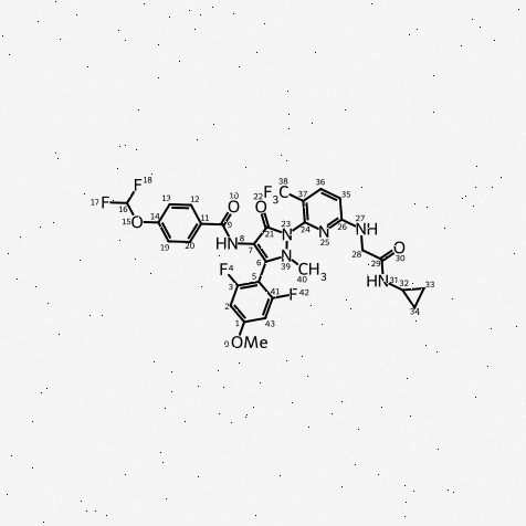 COc1cc(F)c(-c2c(NC(=O)c3ccc(OC(F)F)cc3)c(=O)n(-c3nc(NCC(=O)NC4CC4)ccc3C(F)(F)F)n2C)c(F)c1